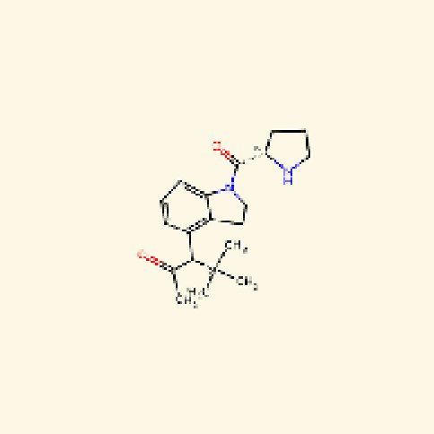 CC(=O)C(c1cccc2c1CCN2C(=O)[C@@H]1CCCN1)[Si](C)(C)C